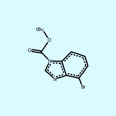 CC(C)(C)OC(=O)n1cnc2c(Br)cccc21